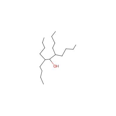 CCCCC(CCCC)C(O)C(CCCC)CCCC